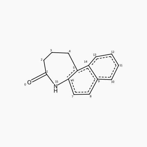 O=C1CCCc2c(ccc3ccccc23)N1